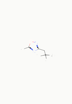 CCCC(C)(CC)Cc1noc(C)n1